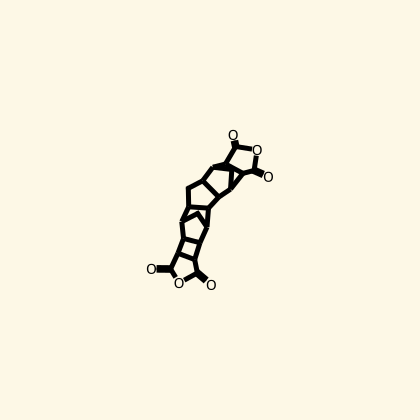 O=C1OC(=O)C2C3CC(C4CC5C6CC(C5C43)C3C4C(=O)OC(=O)C4C63)C12